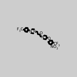 O=C(CCN1CCN(c2ccc(C(F)(F)F)cc2)CC1)CN1CCC(Oc2ccc([N+](=O)[O-])c(C(F)(F)F)c2)CC1